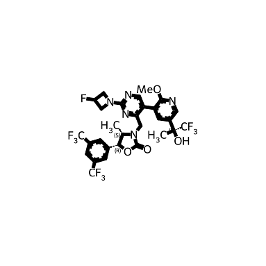 COc1ncc([C@](C)(O)C(F)(F)F)cc1-c1cnc(N2CC(F)C2)nc1CN1C(=O)O[C@H](c2cc(C(F)(F)F)cc(C(F)(F)F)c2)[C@@H]1C